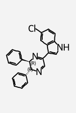 Clc1ccc2[nH]cc(C3=N[C@H](c4ccccc4)[C@@H](c4ccccc4)N=C3)c2c1